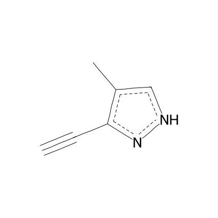 C#Cc1n[nH]cc1C